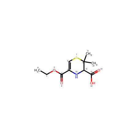 CCOC(=O)C1=CSC(C)(C)C(C(=O)O)N1